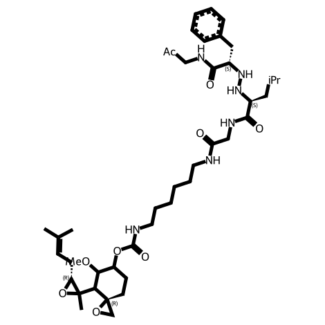 COC1C(OC(=O)NCCCCCCNC(=O)CNC(=O)[C@H](CC(C)C)NN[C@@H](Cc2ccccc2)C(=O)NCC(C)=O)CC[C@]2(CO2)C1C1(C)O[C@@H]1CC=C(C)C